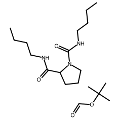 CC(C)(C)OC=O.CCCCNC(=O)C1CCCN1C(=O)NCCCC